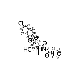 Cl.O=C(NCC(=O)N1CCOCC1)C1CN(S(=O)(=O)c2ccc3cc(Cl)ccc3c2)CCN1